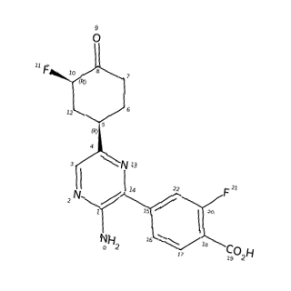 Nc1ncc([C@@H]2CCC(=O)[C@H](F)C2)nc1-c1ccc(C(=O)O)c(F)c1